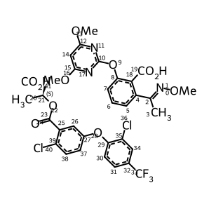 CON=C(C)c1cccc(Oc2nc(OC)cc(OC)n2)c1C(=O)O.C[C@H](OC(=O)c1cc(Oc2ccc(C(F)(F)F)cc2Cl)ccc1Cl)C(=O)O